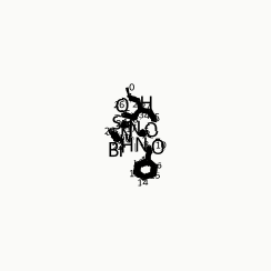 C[C@H]1C[C@H]2CCOC(NC(=O)c3ccccc3)=N[C@@]2(c2nc(Br)cs2)CO1